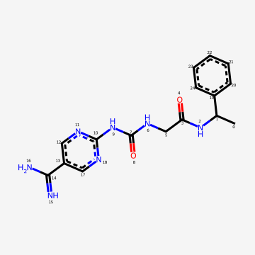 CC(NC(=O)CNC(=O)Nc1ncc(C(=N)N)cn1)c1ccccc1